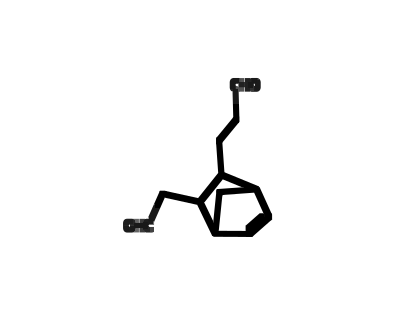 O=CCCC1C2C=CC(C2)C1CC=O